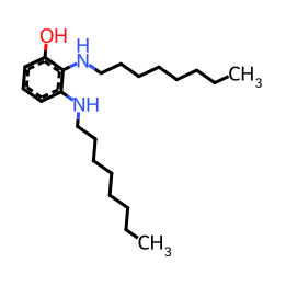 CCCCCCCCNc1cccc(O)c1NCCCCCCCC